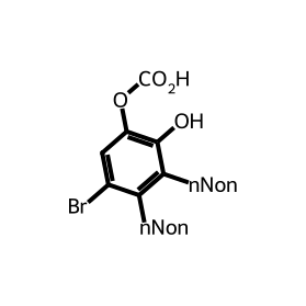 CCCCCCCCCc1c(Br)cc(OC(=O)O)c(O)c1CCCCCCCCC